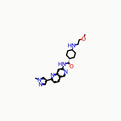 COCCN[C@H]1CC[C@H](C(=O)Nc2cc3nc(-c4cnn(C)c4)ccc3cn2)CC1